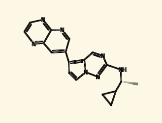 C[C@@H](Nc1ncc2c(-c3cnc4nccnc4c3)ccn2n1)C1CC1